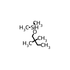 CCC(C)(C)CO[SiH](C)C